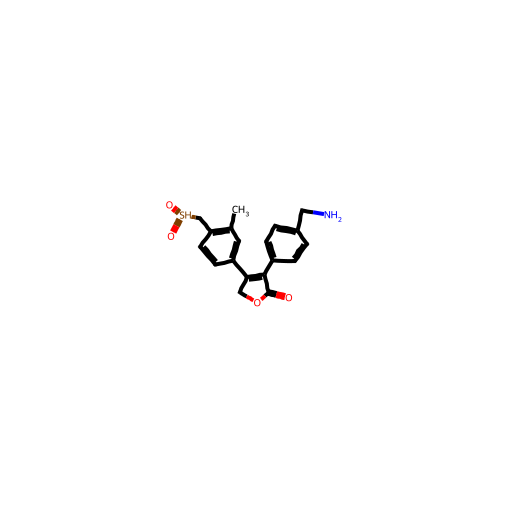 Cc1cc(C2=C(c3ccc(CN)cc3)C(=O)OC2)ccc1C[SH](=O)=O